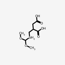 COC(OC)[SiH2]CC(CC(=O)O)C(=O)O